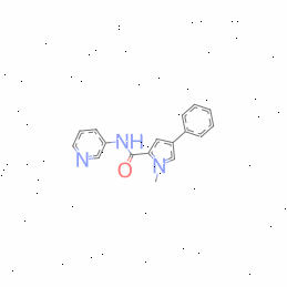 Cn1cc(-c2ccccc2)cc1C(=O)Nc1cccnc1